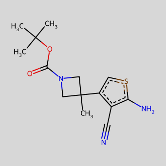 CC(C)(C)OC(=O)N1CC(C)(c2csc(N)c2C#N)C1